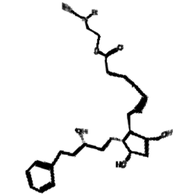 CCN(CC)CCOC(=O)CCC/C=C\C[C@@H]1[C@@H](CC[C@@H](O)CCc2ccccc2)[C@H](O)C[C@@H]1O